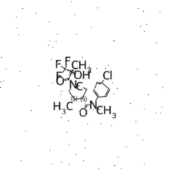 C[C@@H]1CN(C(=O)[C@@](C)(O)C(F)(F)F)CC[C@@H]1C(=O)N(C)c1ccc(Cl)cc1